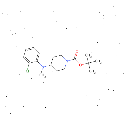 CN(c1ccccc1Cl)C1CCN(C(=O)OC(C)(C)C)CC1